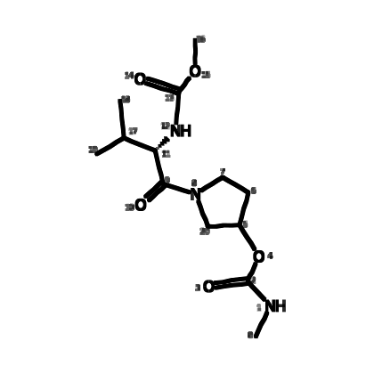 CNC(=O)OC1CCN(C(=O)[C@@H](NC(=O)OC)C(C)C)C1